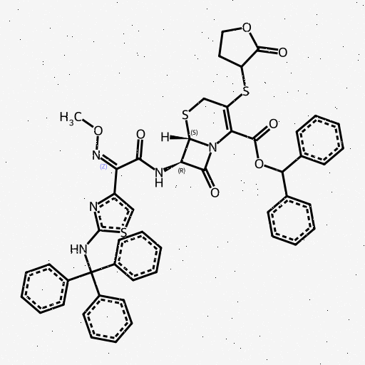 CO/N=C(\C(=O)N[C@@H]1C(=O)N2C(C(=O)OC(c3ccccc3)c3ccccc3)=C(SC3CCOC3=O)CS[C@@H]12)c1csc(NC(c2ccccc2)(c2ccccc2)c2ccccc2)n1